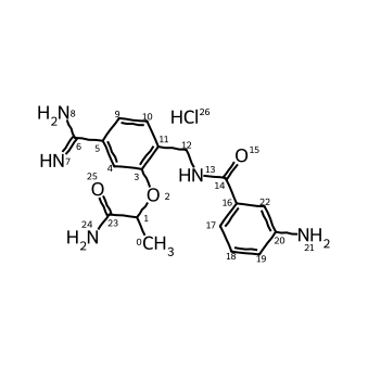 CC(Oc1cc(C(=N)N)ccc1CNC(=O)c1cccc(N)c1)C(N)=O.Cl